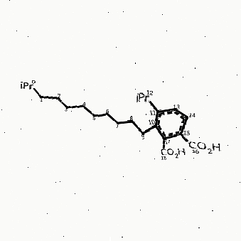 CC(C)CCCCCCCCCc1c(C(C)C)ccc(C(=O)O)c1C(=O)O